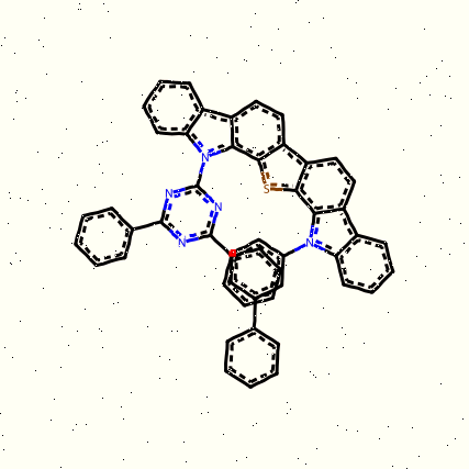 c1ccc(-c2cccc(-n3c4ccccc4c4ccc5c6ccc7c8ccccc8n(-c8nc(-c9ccccc9)nc(-c9ccccc9)n8)c7c6sc5c43)c2)cc1